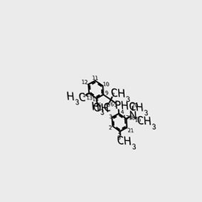 Cc1ccc(PC(C)(C)c2cccc(C)c2O)c(N(C)C)c1